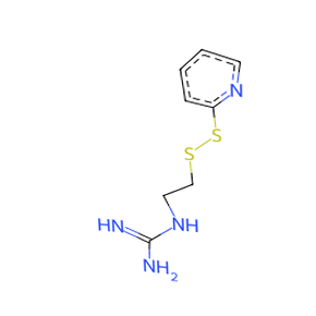 N=C(N)NCCSSc1ccccn1